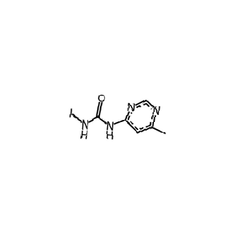 Cc1cc(NC(=O)NI)ncn1